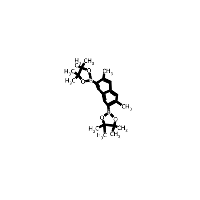 Cc1cc2cc(C)c(B3OC(C)(C)C(C)(C)O3)cc2cc1B1OC(C)(C)C(C)(C)O1